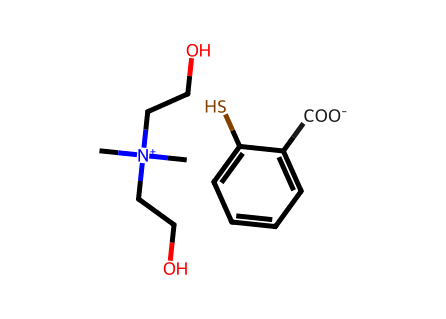 C[N+](C)(CCO)CCO.O=C([O-])c1ccccc1S